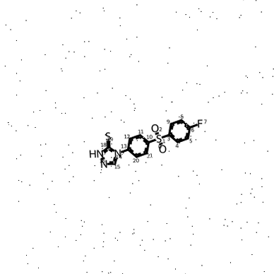 O=S(=O)(c1ccc(F)cc1)c1ccc(-n2cn[nH]c2=S)cc1